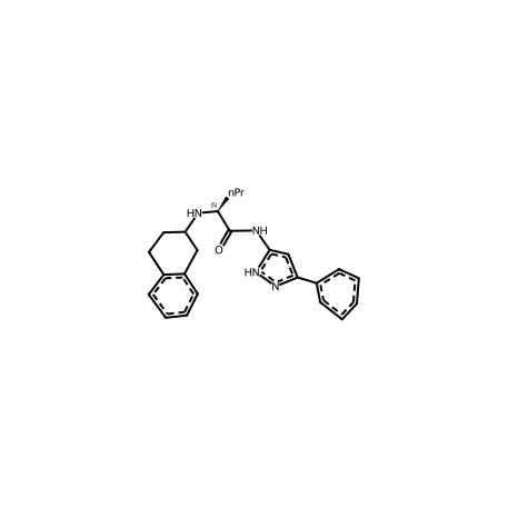 CCC[C@H](NC1CCc2ccccc2C1)C(=O)Nc1cc(-c2ccccc2)n[nH]1